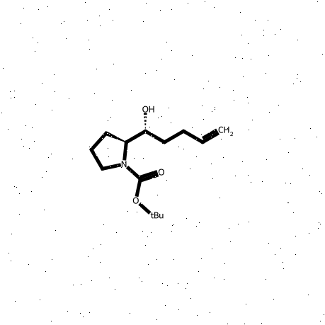 C=CCC[C@@H](O)[C@@H]1CCCN1C(=O)OC(C)(C)C